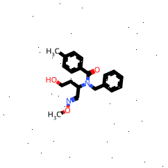 CO/N=C/C(CCO)N(Cc1ccccc1)C(=O)c1ccc(C)cc1